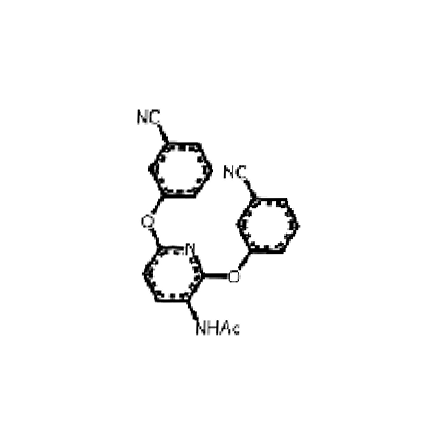 CC(=O)Nc1ccc(Oc2cccc(C#N)c2)nc1Oc1cccc(C#N)c1